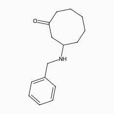 O=C1CCCCCC(NCc2ccccc2)C1